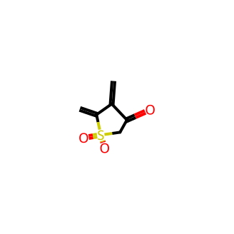 C=C1C(=C)S(=O)(=O)CC1=O